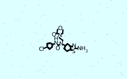 Nc1nc2cc(N(CCN3CCOCC3=O)C(=O)Nc3ccc(Cl)cc3)ccc2s1